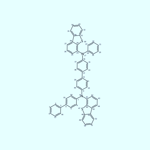 c1ccc(-c2ccc(N(c3ccc(-c4ccc(N(c5ccccc5)c5cccc6c5sc5ccccc56)cc4)cc3)c3cccc4c3sc3ccccc34)cc2)cc1